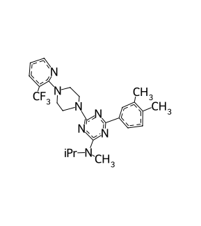 Cc1ccc(-c2nc(N3CCN(c4ncccc4C(F)(F)F)CC3)nc(N(C)C(C)C)n2)cc1C